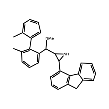 CNC(c1cccc(C)c1-c1ccccc1C)C1NC1c1cccc2c1-c1ccccc1C2